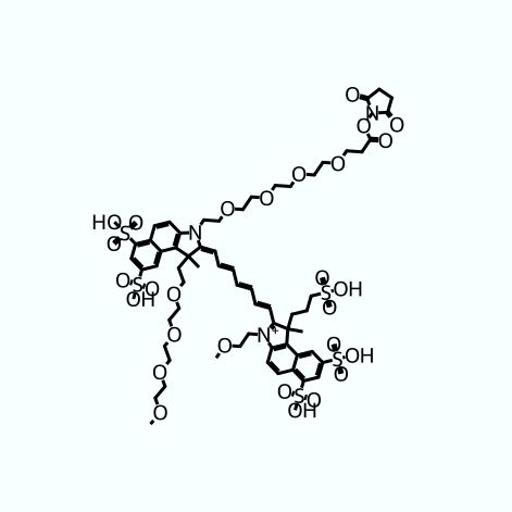 COCCOCCOCCOCCC1(C)\C(=C/C=C/C=C/C=C/C2=[N+](CCOC)c3ccc4c(S(=O)(=O)O)cc(S(=O)(=O)O)cc4c3C2(C)CCCS(=O)(=O)O)N(CCOCCOCCOCCOCCC(=O)ON2C(=O)CCC2=O)c2ccc3c(S(=O)(=O)O)cc(S(=O)(=O)O)cc3c21